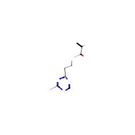 C=C(C)C(=O)OCCc1ncnc(N)n1